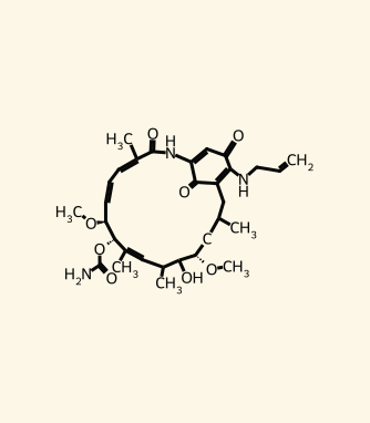 C=CCNC1=C2CC(C)C[C@H](OC)C(O)C(C)C=C(C)[C@H](OC(N)=O)[C@@H](OC)C=CC=C(C)C(=O)NC(=CC1=O)C2=O